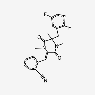 CN1C(=O)C(C)(Cc2cc(F)ccc2F)N(C)C(=O)C1=Cc1ccccc1C#N